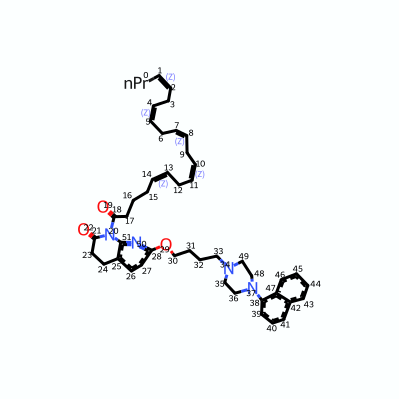 CCC/C=C\C/C=C\C/C=C\C/C=C\C/C=C\CCCC(=O)N1C(=O)CCc2ccc(OCCCCN3CCN(c4cccc5ccccc45)CC3)nc21